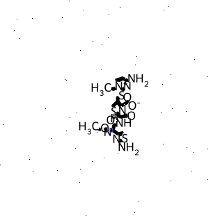 CCO/N=C(\C(=O)NC1C(=O)N2C(C(=O)[O-])=C(CSc3nc(N)cc[n+]3CC)CS[C@H]12)c1csc(N)n1